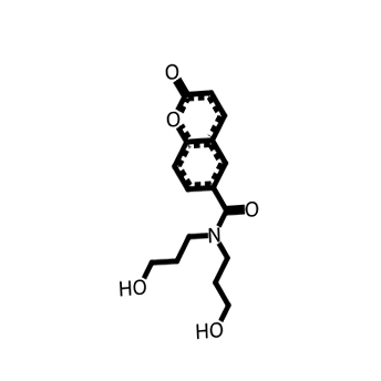 O=C(c1ccc2oc(=O)ccc2c1)N(CCCO)CCCO